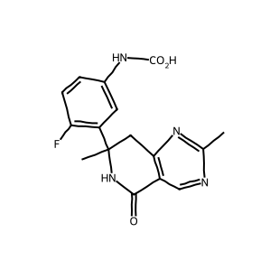 Cc1ncc2c(n1)CC(C)(c1cc(NC(=O)O)ccc1F)NC2=O